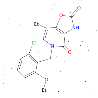 CCOc1cccc(Cl)c1Cn1cc(CC)c2oc(=O)[nH]c2c1=O